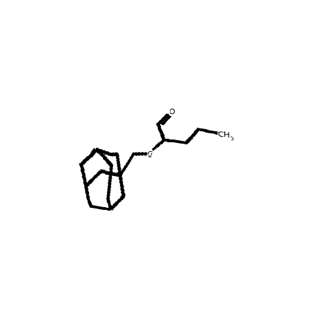 CCCC(C=O)OCC12CC3CC(CC(C3)C1)C2